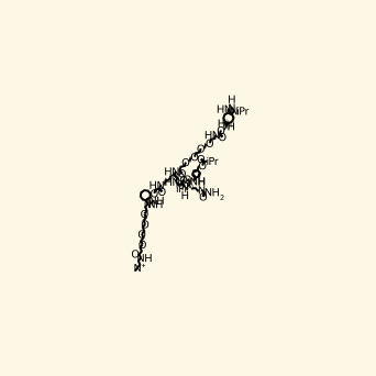 CC(C)C(=O)OCc1ccc(NC(=O)[C@H](CCCNC(N)=O)NC(=O)[C@@H](NC(=O)[C@@H](CCCCNC(=O)COC2CCCCCC3=C2NNN3CCOCCOCCOCCOCCC(=O)NCC[N+](C)(C)C)NC(=O)CCOCCOCCOCCOCCNC(=O)OC[C@@H]2[C@@H]3CCC4=C(CC[C@@H]32)NNN4C(C)C)C(C)C)cc1